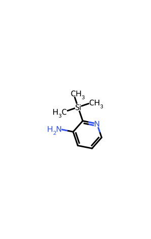 C[Si](C)(C)c1ncccc1N